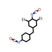 CCC1CC(CC2CCC(N=C=O)CC2)CC(CC)C1N=C=O